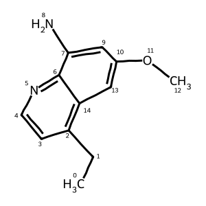 CCc1ccnc2c(N)cc(OC)cc12